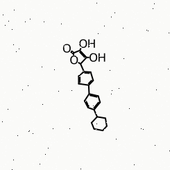 O=C1OC(c2ccc(-c3ccc(C4CCCCC4)cc3)cc2)C(O)=C1O